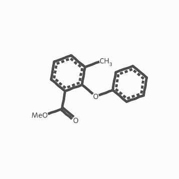 COC(=O)c1cccc(C)c1Oc1ccccc1